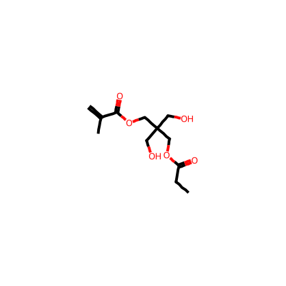 C=C(C)C(=O)OCC(CO)(CO)COC(=O)CC